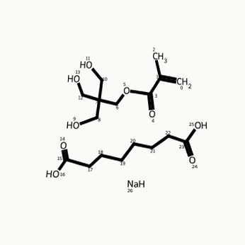 C=C(C)C(=O)OCC(CO)(CO)CO.O=C(O)CCCCCCC(=O)O.[NaH]